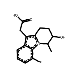 CC1C(O)CCc2c(CC(=O)O)c3cccc(F)c3n21